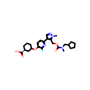 CN(CC1CCCC1)C(=O)OCc1c(-c2ccc(OC3CCC[C@H](C(=O)O)C3)c(F)n2)cnn1C